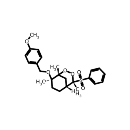 COc1ccc(CO[C@]2(C)CC[C@@H]3C[C@@]2(C)OO[C@]3(C)S(=O)(=O)c2ccccc2)cc1